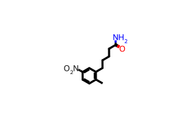 Cc1ccc([N+](=O)[O-])cc1CCCCC(N)=O